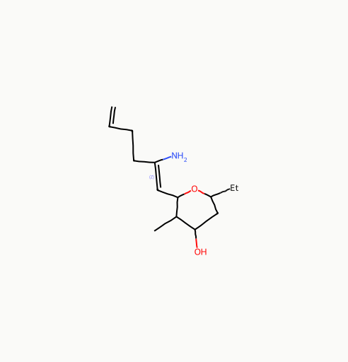 C=CCC/C(N)=C/C1OC(CC)CC(O)C1C